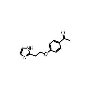 CC(=O)c1ccc(OCCc2ncc[nH]2)cc1